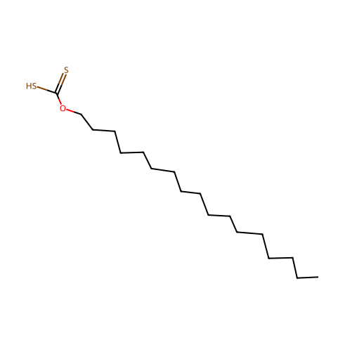 CCCCCCCCCCCCCCCCCOC(=S)S